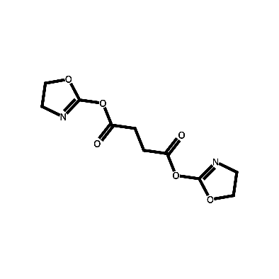 O=C(CCC(=O)OC1=NCCO1)OC1=NCCO1